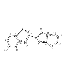 Cc1ccc2ccc(-c3cc4ccccc4s3)nc2n1